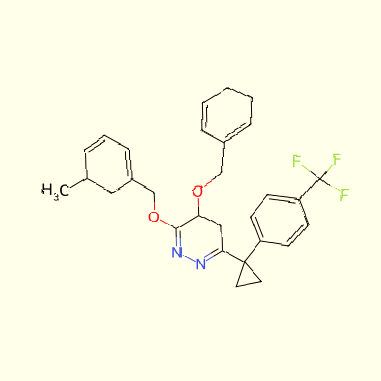 CC1C=CC=C(COC2=NN=C(C3(c4ccc(C(F)(F)F)cc4)CC3)CC2OCC2=CCCC=C2)C1